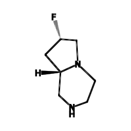 F[C@H]1C[C@H]2CNCCN2C1